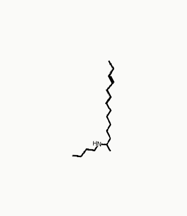 CCC=CCCCCCCCCC(C)NCCCC